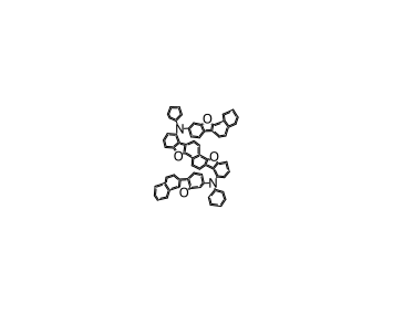 c1ccc(N(c2ccc3c(c2)oc2c4ccccc4ccc32)c2cccc3oc4c5ccc6c(oc7cccc(N(c8ccccc8)c8ccc9c(c8)oc8c%10ccccc%10ccc98)c76)c5ccc4c23)cc1